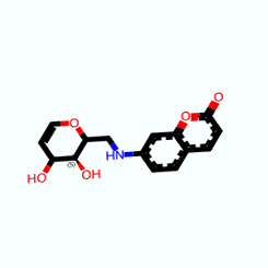 O=c1ccc2ccc(NCC3OC=CC(O)[C@@H]3O)cc2o1